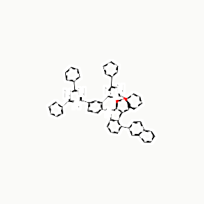 c1ccc(-c2nc(-c3ccccc3)nc(-c3ccc(-n4c5ccccc5c5c(-c6ccc7ccccc7c6)cccc54)c(-c4nc(-c5ccccc5)nc(-c5ccccc5)n4)c3)n2)cc1